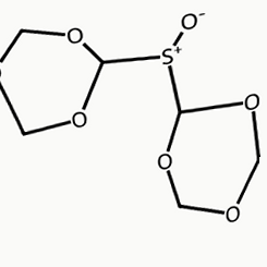 [O-][S+](C1OCOCO1)C1OCOCO1